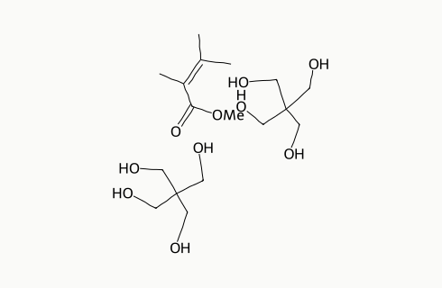 COC(=O)C(C)=C(C)C.OCC(CO)(CO)CO.OCC(CO)(CO)CO